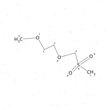 COCCOCS(C)(=O)=O